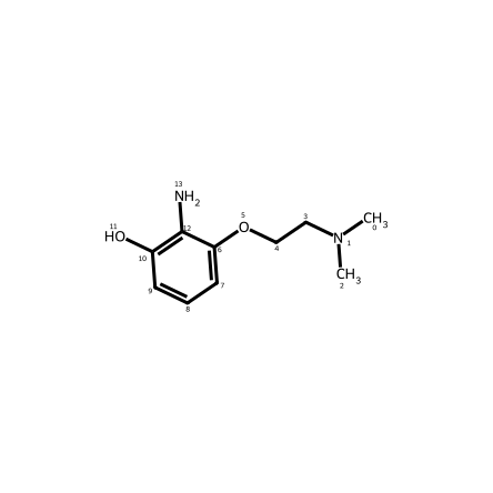 CN(C)CCOc1cccc(O)c1N